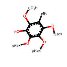 CCCCCCOc1c(O)c(OC(=O)O)c(CCCC)c(OCCCCCC)c1OCCCCCC